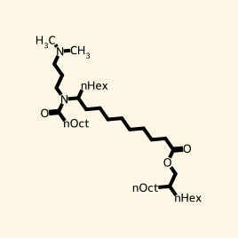 CCCCCCCCC(=O)N(CCCN(C)C)C(CCCCCC)CCCCCCCCC(=O)OCC(CCCCCC)CCCCCCCC